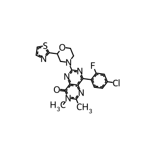 Cc1nc2c(-c3ccc(Cl)cc3F)nc(N3CCOC(c4nccs4)C3)nc2c(=O)n1C